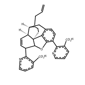 C=CCN1CC[C@]23c4c5ccc(-c6ncccc6C(=O)O)c4OC2C(c2ncccc2C(=O)O)C=C[C@H]3[C@H]1C5